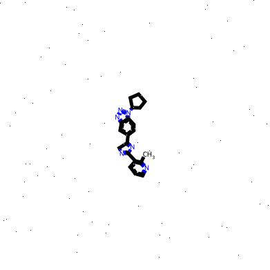 Cc1ncccc1C1=NCC(c2ccc3c(c2)nnn3C2CCCC2)=N1